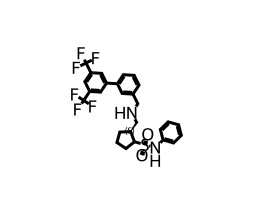 O=S(=O)(Nc1ccccc1)C1CCC[C@H]1CNCc1cccc(-c2cc(C(F)(F)F)cc(C(F)(F)F)c2)c1